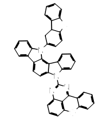 C1=C2Sc3ccccc3C2CC(n2c3ccccc3c3ccc4c(c5ccccc5n4-c4nc5c6c(cccc6n4)Oc4ccccc4-5)c32)=C1